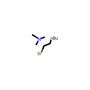 CCCCCCBr.CN(C)C